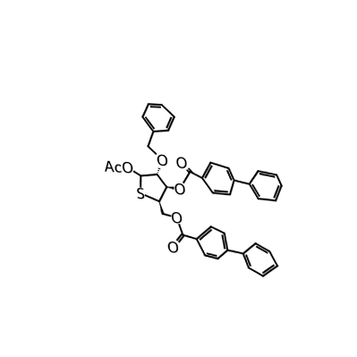 CC(=O)OC1S[C@H](COC(=O)c2ccc(-c3ccccc3)cc2)[C@H](OC(=O)c2ccc(-c3ccccc3)cc2)[C@H]1OCc1ccccc1